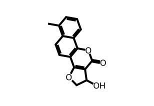 Cc1cccc2c1ccc1c3c(c(=O)oc12)C(O)CO3